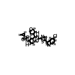 O=C(N[C@@H](c1cc(NS(=O)(=O)C2CC2)ccn1)C1CCOCC1)c1nnc(-c2cnn3ccc(Cl)cc23)s1